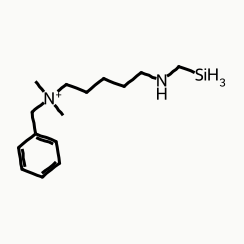 C[N+](C)(CCCCCNC[SiH3])Cc1ccccc1